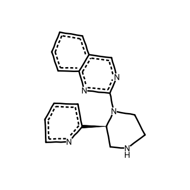 c1ccc([C@@H]2CNCCN2c2ncc3ccccc3n2)nc1